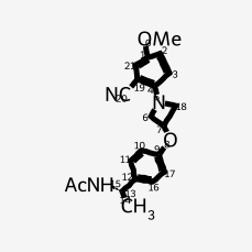 COc1ccc(N2CC(Oc3ccc([C@H](C)NC(C)=O)cc3)C2)c(C#N)c1